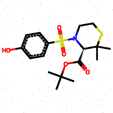 CC(C)(C)OC(=O)[C@@H]1N(S(=O)(=O)c2ccc(O)cc2)CCSC1(C)C